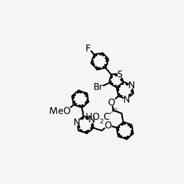 COc1ccccc1-c1nccc(COc2ccccc2C[C@@H](Oc2ncnc3sc(-c4ccc(F)cc4)c(Br)c23)C(=O)O)n1